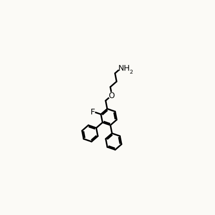 NCCCOCc1ccc(-c2ccccc2)c(-c2ccccc2)c1F